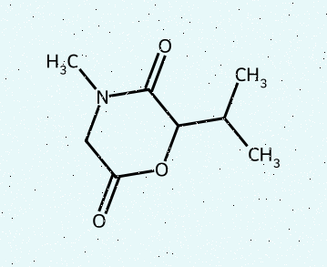 CC(C)C1OC(=O)CN(C)C1=O